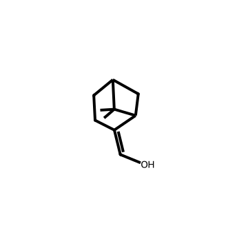 CC1(C)C2CCC(=CO)C1C2